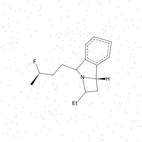 CCC1C[C@H]2c3ccccc3C(CC[C@@H](C)F)N12